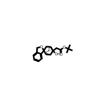 CC(C)(C)OC(=O)CC1(O)CC2CCC1CC21OCc2ccccc21